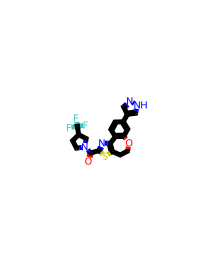 O=C(c1nc2c(s1)CCOc1cc(-c3cn[nH]c3)ccc1-2)N1CCC(C(F)(F)F)C1